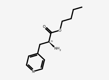 CCCCOC(=O)[C@@H](N)Cc1ccncc1